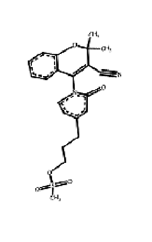 CC1(C)Oc2ccccc2C(n2ccc(CCCOS(C)(=O)=O)cc2=O)=C1C#N